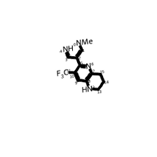 CN/C=C(\C=N)c1nc2c(cc1C(F)(F)F)NCCC2